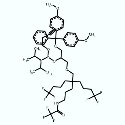 COc1ccc(C(OCC(COCC(CCCNC(=O)C(F)(F)F)(CCCC(F)(F)F)CCCC(F)(F)F)OP(OCCC#N)N(C(C)C)C(C)C)(c2ccccc2)c2ccc(OC)cc2)cc1